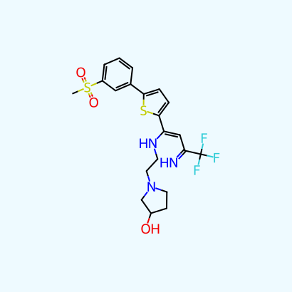 CS(=O)(=O)c1cccc(-c2ccc(/C(=C/C(=N)C(F)(F)F)NCCN3CCC(O)C3)s2)c1